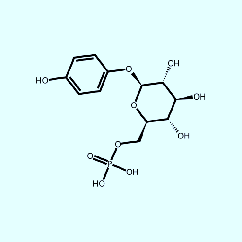 O=P(O)(O)OC[C@H]1O[C@@H](Oc2ccc(O)cc2)[C@H](O)[C@@H](O)[C@@H]1O